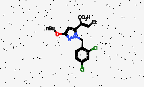 CCC=C(C(=O)O)c1cc(OCCCC)nn1Cc1ccc(Cl)cc1Cl